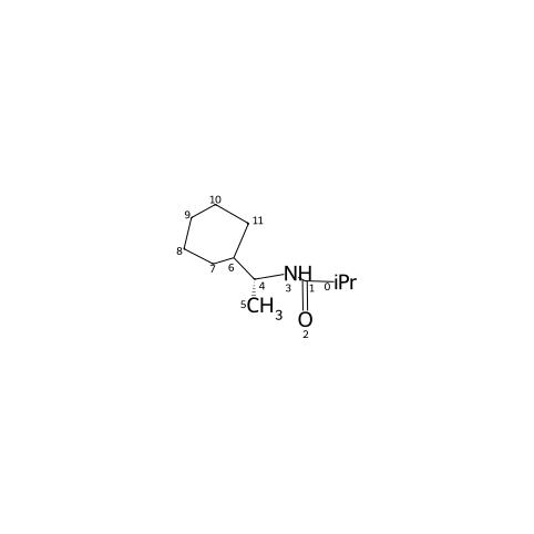 CC(C)C(=O)N[C@H](C)C1CCCCC1